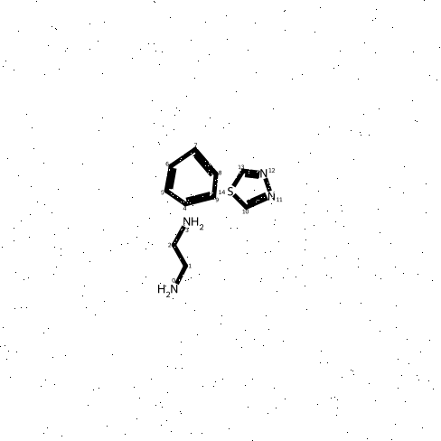 NCCN.c1ccccc1.c1nncs1